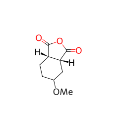 COC1CC[C@@H]2C(=O)OC(=O)[C@@H]2C1